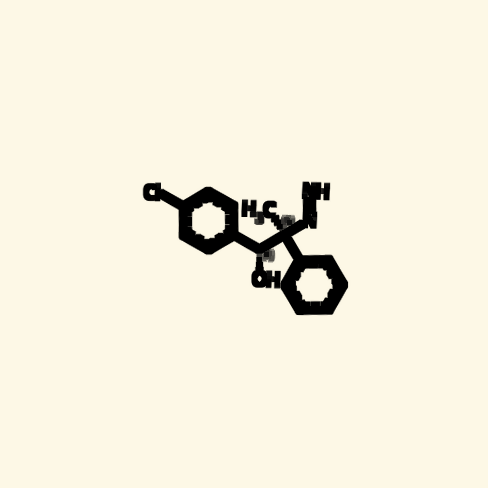 C[C@](N=N)(c1ccccc1)[C@H](O)c1ccc(Cl)cc1